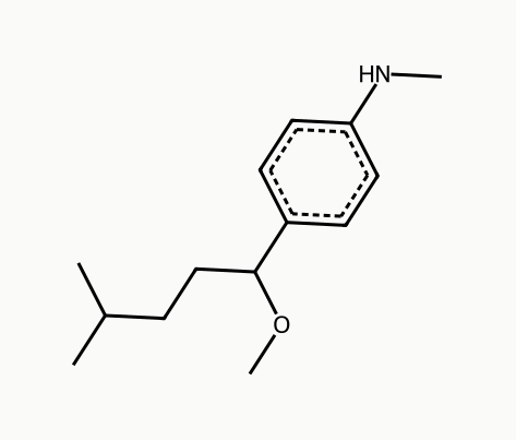 CNc1ccc(C(CCC(C)C)OC)cc1